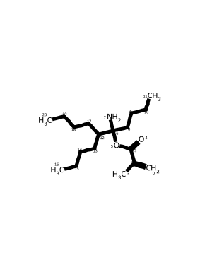 C=C(C)C(=O)OC(N)(CCCC)C(CCCC)CCCC